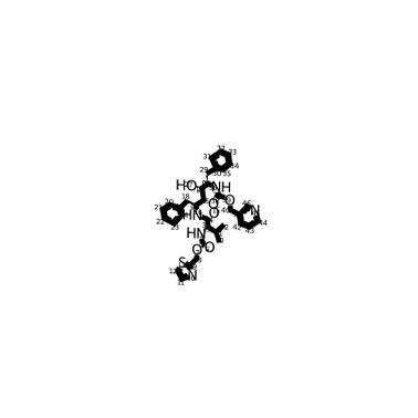 CC(C)[C@H](NC(=O)OCc1nccs1)C(=O)N[C@@H](Cc1ccccc1)C[C@H](O)[C@H](Cc1ccccc1)NC(=O)OCc1cccnc1